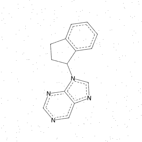 c1ccc2c(c1)CCC2n1cnc2cncnc21